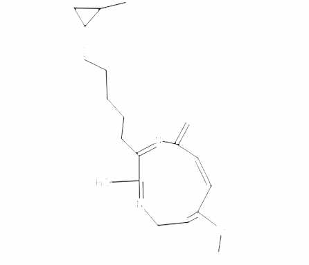 C=C1/C=C\C(OC)=C/C/N=C(O)\C(CCCCC[C@@H]2CC2C)=N/1